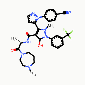 C[C@H](NC(=O)C1=C(c2ccnn2-c2ccc(C#N)cc2)N(C)N(c2cccc(C(F)(F)F)c2)C1O)C(=O)N1CCCN(C)CC1